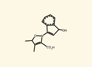 CC1=C(C(=O)O)N(C2=CC(O)c3ccccc32)OC1C